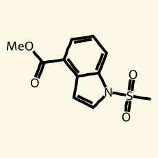 COC(=O)c1cccc2c1ccn2S(C)(=O)=O